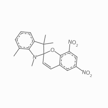 Cc1cccc2c1N(C)C1(C=Cc3cc([N+](=O)[O-])cc([N+](=O)[O-])c3O1)C2(C)C